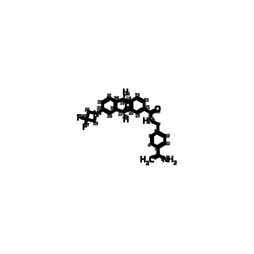 C=C(N)c1ccc(CNC(=O)c2ccc3c(c2)[C@@H]2O[C@H]3c3ccc(N4CC(F)(F)C4)cc32)cc1